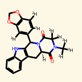 [2H]c1c([2H])c(C2c3[nH]c4ccccc4c3C[C@@H]3C(=O)N(C([2H])([2H])[2H])C([2H])([2H])C(=O)N23)c([2H])c2c1OCO2